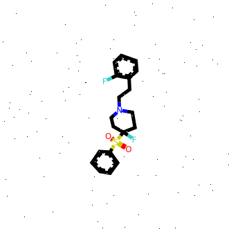 O=S(=O)(c1ccccc1)C1(F)CCN(CCc2ccccc2F)CC1